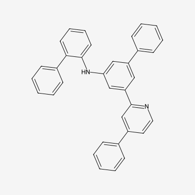 c1ccc(-c2cc(Nc3ccccc3-c3ccccc3)cc(-c3cc(-c4ccccc4)ccn3)c2)cc1